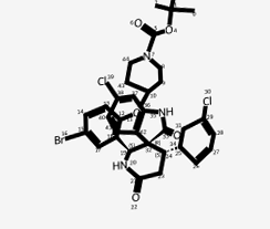 CC(C)(C)OC(=O)N1CCC(Oc2ccc(Br)cc2[C@@H]2NC(=O)C[C@@H](C3C=CC=C(Cl)C3)[C@]23C(=O)Nc2cc(Cl)ccc23)CC1